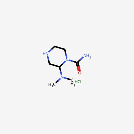 CN(C)C1CNCCN1C(N)=O.Cl